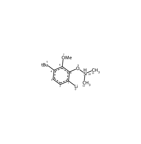 [Li][c]1ccc(C(C)(C)C)c(OC)c1O[SiH](C)C